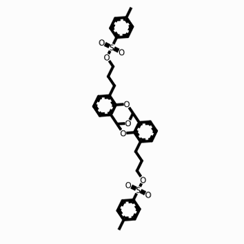 Cc1ccc(S(=O)(=O)OCCCc2cccc3c2OC2OC3Oc3c(CCCOS(=O)(=O)c4ccc(C)cc4)cccc32)cc1